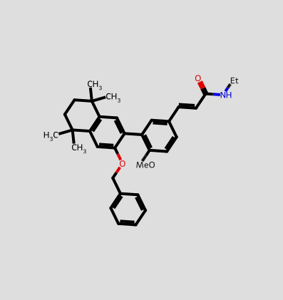 CCNC(=O)C=Cc1ccc(OC)c(-c2cc3c(cc2OCc2ccccc2)C(C)(C)CCC3(C)C)c1